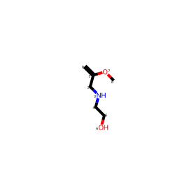 C=C(CNCCO)OC